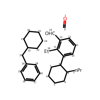 C=O.CCCC1CCCCC1c1cccc(C=O)c1CC.c1ccc(CC2CCCCC2)cc1